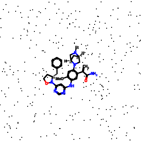 C=C(C(N)=O)c1cc(Nc2cc(N3OCC[C@@H]3Cc3ccccc3)ncn2)c(OC)cc1N1C[C@H]2C[C@@H]1CN2CC